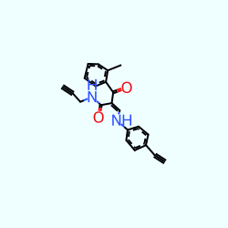 C#CCNC(=O)C(=CNc1ccc(C#C)cc1)C(=O)c1ccccc1C